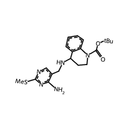 CSc1ncc(CNC2CCN(C(=O)OC(C)(C)C)c3ccccc32)c(N)n1